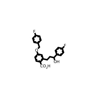 O=C(O)c1ccc(OCc2ccc(F)cc2)cc1CCC(O)c1ccc(F)cc1